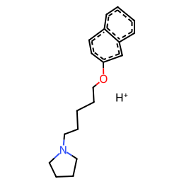 [H+].c1ccc2cc(OCCCCCN3CCCC3)ccc2c1